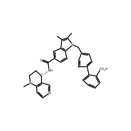 Cc1c(C)n(Cc2ccc(-c3ccccc3C(=O)O)cc2)c2ccc(C(=O)N[C@H]3CCN(C)c4ccncc43)cc12